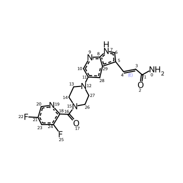 NC(=O)/C=C/c1c[nH]c2ncc(N3CCN(C(=O)c4ncc(F)cc4F)CC3)cc12